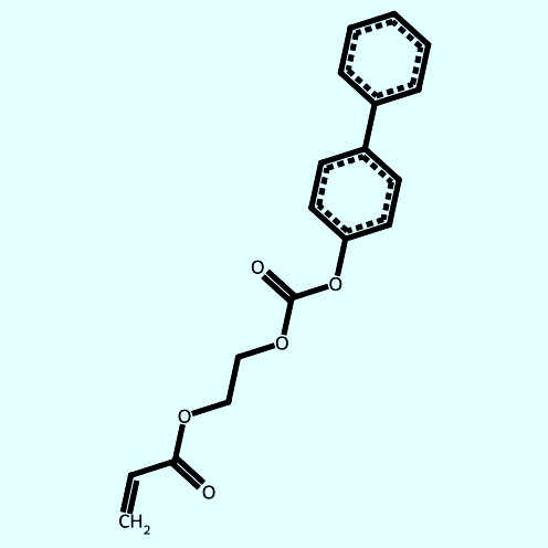 C=CC(=O)OCCOC(=O)Oc1ccc(-c2ccccc2)cc1